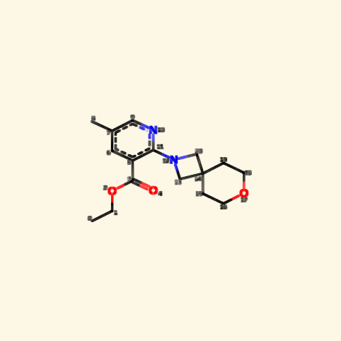 CCOC(=O)c1cc(C)cnc1N1CC2(CCOCC2)C1